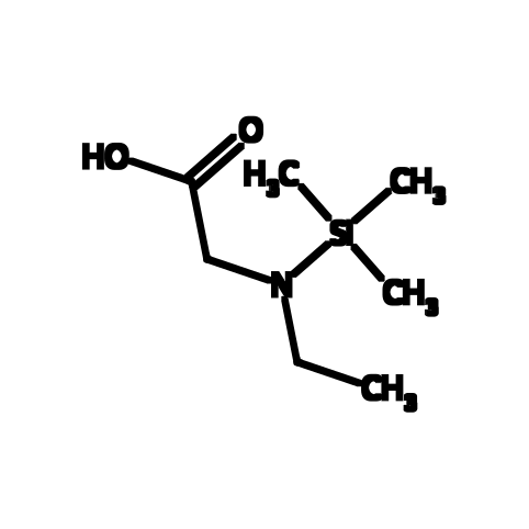 CCN(CC(=O)O)[Si](C)(C)C